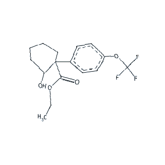 CCOC(=O)C1(c2ccc(OC(F)(F)F)cc2)CCCCC1O